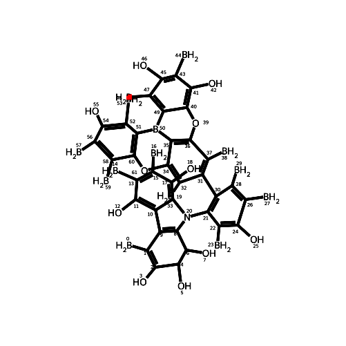 BC1=C(O)C(O)C(O)c2c1c1c(O)c(B)c(B)c(O)c1n2-c1c(B)c(O)c(B)c(B)c1-c1c(B)c2c3c(c1B)Oc1c(O)c(B)c(O)c(B)c1B3c1c(B)c(O)c(B)c(B)c1O2